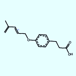 C=C(C)/C=C/COc1ccc(CCC(=O)O)cc1